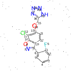 Fc1ccccc1-c1noc2c(Cl)c(OCc3nnn[nH]3)ccc12